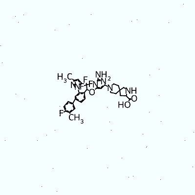 Cc1ccn(-c2cc(-c3ccc(F)c(C)c3)ccc2C(Oc2cc(N3CCC4(CC3)CNC(C(=O)O)C4)nc(N)n2)C(F)(F)F)n1